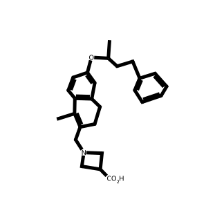 CC1=C(CN2CC(C(=O)O)C2)CCc2cc(OC(C)CCc3ccccc3)ccc21